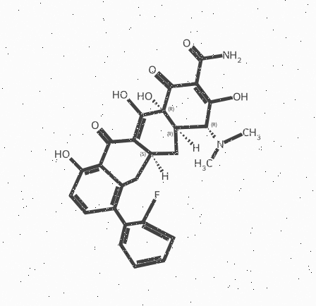 CN(C)[C@H]1C(O)=C(C(N)=O)C(=O)[C@]2(O)C(O)=C3C(=O)c4c(O)ccc(-c5ccccc5F)c4C[C@@H]3C[C@H]12